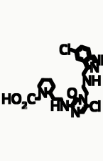 O=C(O)CN1CCCCC1CCNc1ncc(Cl)n(CCNCc2n[nH]c3ccc(Cl)cc23)c1=O